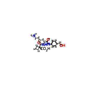 CN(C)CCCCC(NC(=O)C1(C(=O)O)CCC1)C(=O)Nc1ccc(CO)cc1